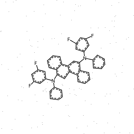 Fc1cc(F)cc(N(c2ccccc2)c2cc3c4ccccc4c(N(c4ccccc4)c4cc(F)cc(F)c4)cc3c3ccccc23)c1